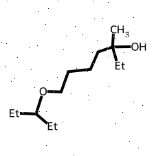 CCC(CC)OCCCCC(C)(O)CC